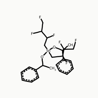 CC([O][Sn]([CH2]C(F)C(F)CF)([CH2]C(F)C(F)CF)[O]C(C)c1ccccc1)c1ccccc1